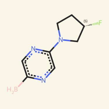 Bc1cnc(N2CC[C@H](F)C2)cn1